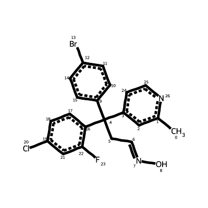 Cc1cc(C(C/C=N/O)(c2ccc(Br)cc2)c2ccc(Cl)cc2F)ccn1